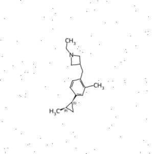 CCN1CC(Cc2ccc([C@H]3C[C@H]3C)cc2C)C1